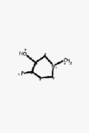 CN1CCC(F)C(O)C1